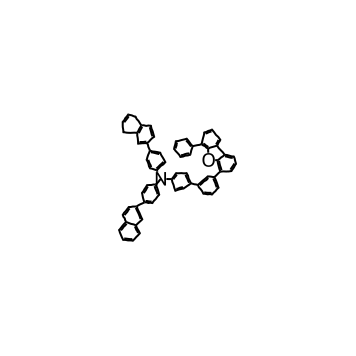 C1=CCc2cc(-c3ccc(N(c4ccc(-c5cccc(-c6cccc7c6oc6c(-c8ccccc8)cccc67)c5)cc4)c4ccc(-c5ccc6ccccc6c5)cc4)cc3)ccc2C1